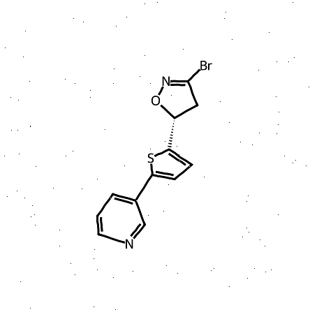 BrC1=NO[C@@H](c2ccc(-c3cccnc3)s2)C1